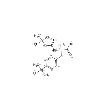 CC(C)(C)OC(=O)NC(C)(Cc1cc[c]([Sn]([CH3])([CH3])[CH3])cc1)C(=O)O